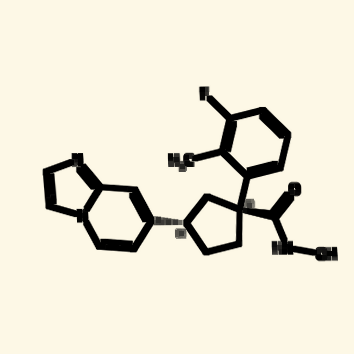 Cc1c(F)cccc1[C@]1(C(=O)NO)CC[C@H](c2ccn3ccnc3c2)C1